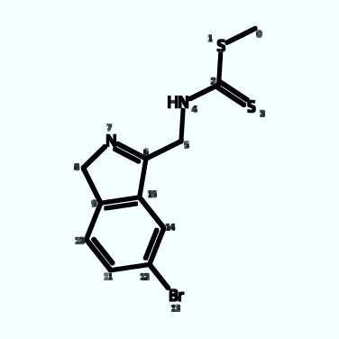 CSC(=S)NCC1=NCc2ccc(Br)cc21